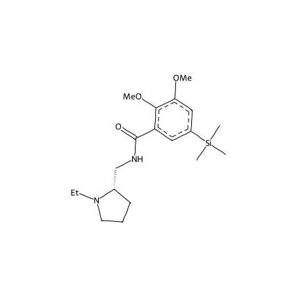 CCN1CCC[C@H]1CNC(=O)c1cc([Si](C)(C)C)cc(OC)c1OC